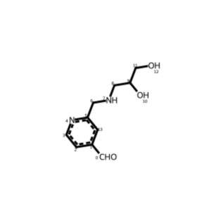 O=Cc1ccnc(CNCC(O)CO)c1